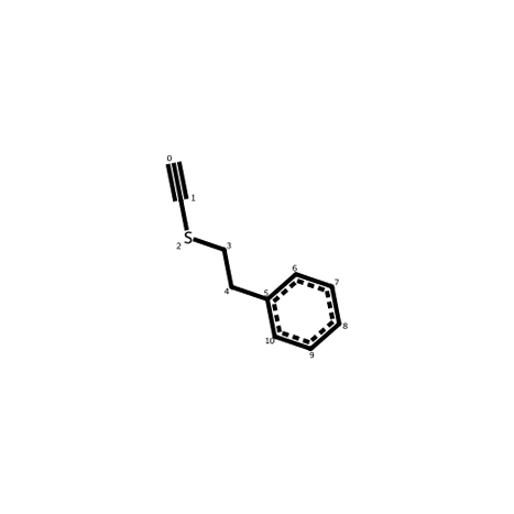 C#CSCCc1ccccc1